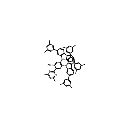 Cc1cc(C)cc(-c2ccc3c4ccc(-c5cc(C)cc(C)c5)cc4n(-c4cc(C#N)c(-c5nc(C)nc(C)n5)cc4-n4c5cc(-c6cc(C)cc(C)c6)ccc5c5ccc(-c6cc(C)cc(C)c6)cc54)c3c2)c1